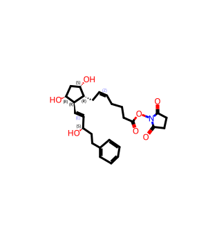 O=C(CCC/C=C\C[C@@H]1[C@@H](/C=C/[C@@H](O)CCc2ccccc2)[C@H](O)C[C@@H]1O)ON1C(=O)CCC1=O